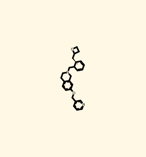 C1=CC(CN2CCc3ccc(OCc4cccnc4)cc3C2)[C@@H](CC2CCO2)C=C1